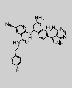 N#Cc1cnc(N[C@H](CC(N)=O)c2ccc(-c3c[nH]c4ncnc(N)c34)cc2)c(C(=O)NCCc2ccc(F)cc2)c1